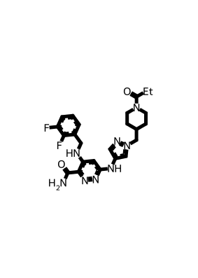 CCC(=O)N1CCC(Cn2cc(Nc3cc(NCc4cccc(F)c4F)c(C(N)=O)nn3)cn2)CC1